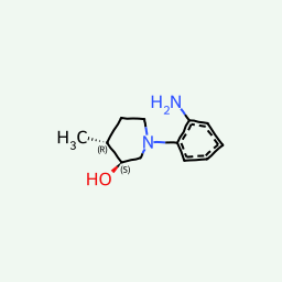 C[C@@H]1CCN(c2ccccc2N)C[C@H]1O